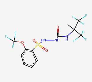 CC(NC(=O)NNS(=O)(=O)c1ccccc1OC(F)(F)F)(C(F)(F)F)C(F)(F)F